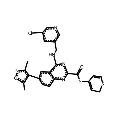 Cc1noc(C)c1-c1ccc2nc(C(=O)NC3=CCSC=C3)nc(NCc3cncc(Cl)c3)c2c1